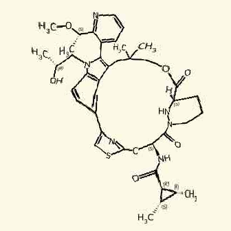 CO[C@@H](C)c1ncccc1-c1c2c3cc(ccc3n1C[C@@H](C)O)-c1csc(n1)C[C@H](NC(=O)[C@H]1[C@H](C)[C@@H]1C)C(=O)N1CCC[C@H](N1)C(=O)OCC(C)(C)C2